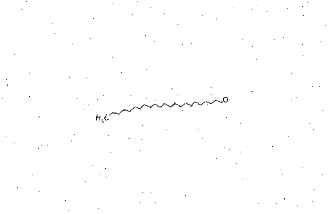 CCCCCCCCCCCCCCCCCCCCCCC[O]